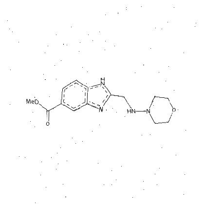 COC(=O)c1ccc2[nH]c(CNN3CCOCC3)nc2c1